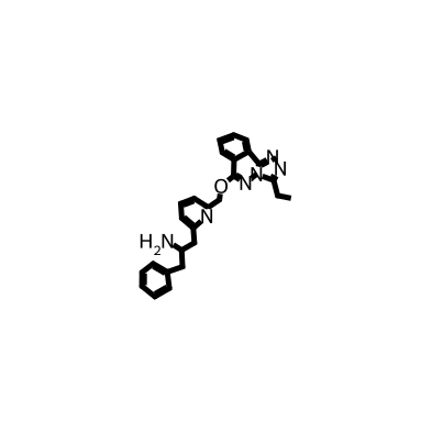 CCc1nnc2c3ccccc3c(OCc3cccc(CC(N)Cc4ccccc4)n3)nn12